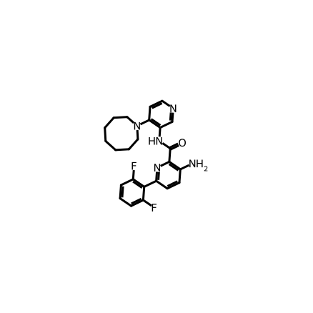 Nc1ccc(-c2c(F)cccc2F)nc1C(=O)Nc1cnccc1N1CCCCCCC1